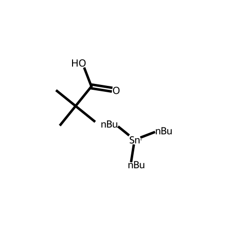 CC(C)(C)C(=O)O.CCC[CH2][Sn]([CH2]CCC)[CH2]CCC